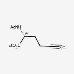 C#CCC[C@@H](NC(C)=O)C(=O)OCC